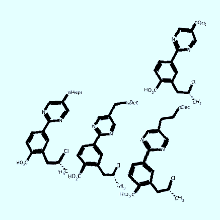 CCCCCCCCCCCCc1cnc(-c2ccc(C(=O)O)c(C[C@@H](C)Cl)c2)nc1.CCCCCCCCCCCc1cnc(-c2ccc(C(=O)O)c(C[C@@H](C)Cl)c2)nc1.CCCCCCCCc1cnc(-c2ccc(C(=O)O)c(C[C@@H](C)Cl)c2)nc1.CCCCCCCc1cnc(-c2ccc(C(=O)O)c(C[C@@H](C)Cl)c2)nc1